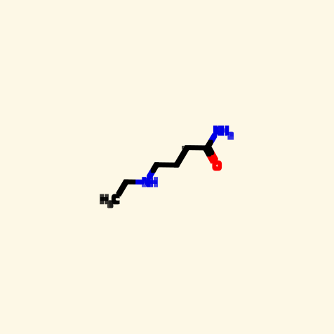 CCNCC[CH]C(N)=O